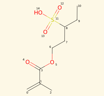 C=C(C)C(=O)OCCC(CC)S(=O)(=O)O